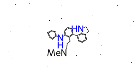 CNCCCc1c(Nc2ccccc2)cccc1-c1cccc2c1NCC2